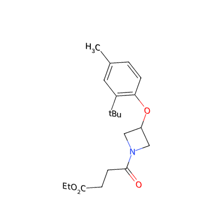 CCOC(=O)CCC(=O)N1CC(Oc2ccc(C)cc2C(C)(C)C)C1